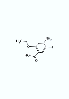 CCOc1cc(N)c(I)cc1C(=O)O